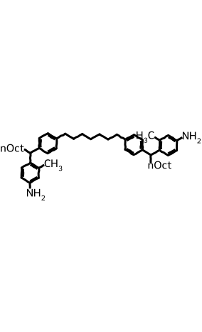 CCCCCCCCC(c1ccc(CCCCCCCc2ccc(C(CCCCCCCC)c3ccc(N)cc3C)cc2)cc1)c1ccc(N)cc1C